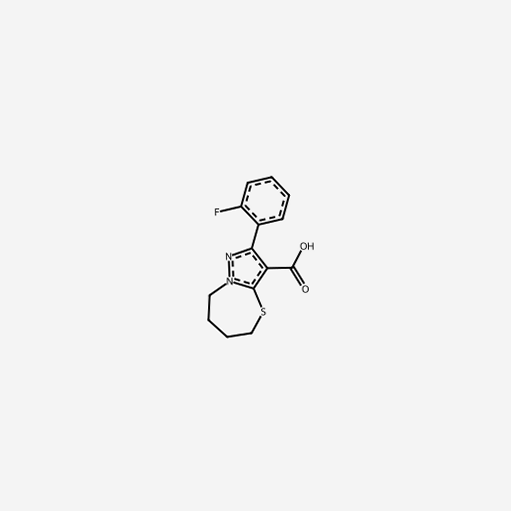 O=C(O)c1c(-c2ccccc2F)nn2c1SCCCC2